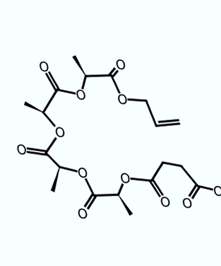 C=CCOC(=O)[C@H](C)OC(=O)[C@H](C)OC(=O)[C@H](C)OC(=O)[C@H](C)OC(=O)CCC(=O)O